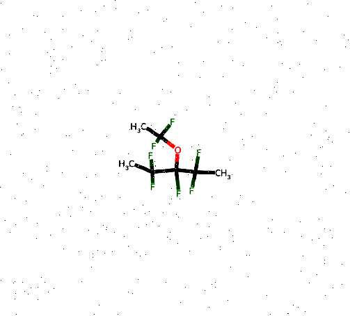 CC(F)(F)OC(F)(C(C)(F)F)C(C)(F)F